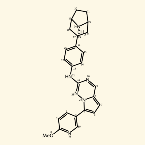 COc1ccc(-c2ccc3cnc(Nc4ccc(C5CC6CCC(C5)N6C)cc4)nn23)cn1